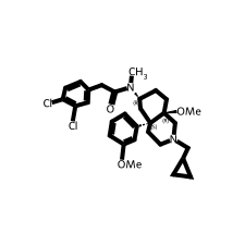 COc1cccc([C@@]23CCN(CC4CC4)C[C@@]2(OC)CC[C@@H](N(C)C(=O)Cc2ccc(Cl)c(Cl)c2)C3)c1